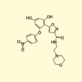 O=C(NCCN1CCOCC1)c1cc(-c2c(O)cc(O)cc2Oc2ccc([N+](=O)[O-])cc2)on1